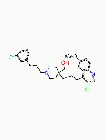 COc1ccc2ncc(Cl)c(CCCC3(CO)CCN(CCCc4cccc(F)c4)CC3)c2c1